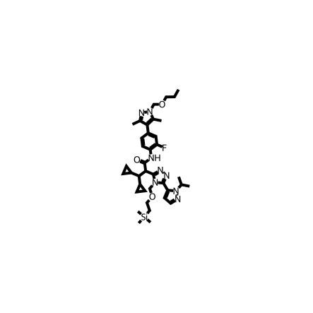 CCCOCn1nc(C)c(-c2ccc(NC(=O)C(c3nnc(-c4ccnn4C(C)C)n3COCC[Si](C)(C)C)C(C3CC3)C3CC3)c(F)c2)c1C